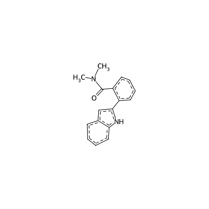 CN(C)C(=O)c1ccccc1-c1cc2ccccc2[nH]1